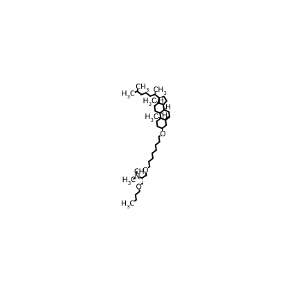 CCCCOC[C@@H](COCCCCCCCCO[C@H]1CC[C@@]2(C)C(=CC[C@H]3[C@@H]4CC[C@H]([C@H](C)CCCC(C)C)[C@@]4(C)CC[C@@H]32)C1)N(C)C